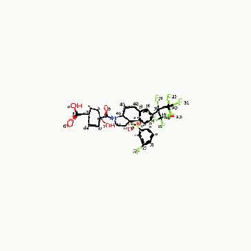 O=C(O)[C@H]1CC[C@](O)(C(=O)N2CCC3(S(=O)(=O)c4cccc(F)c4)c4ccc(C(F)(C(F)(F)F)C(F)(F)F)cc4CCC23)CC1